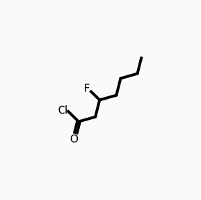 CCCCC(F)CC(=O)Cl